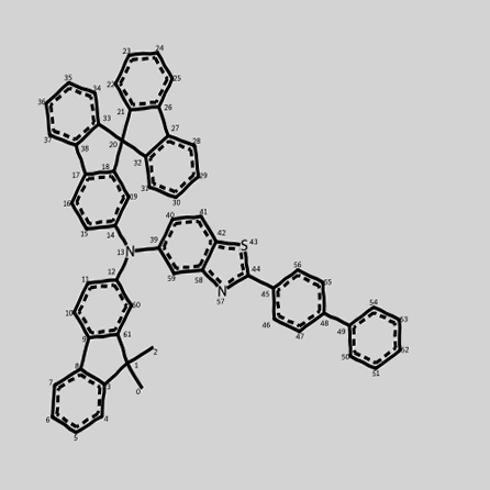 CC1(C)c2ccccc2-c2ccc(N(c3ccc4c(c3)C3(c5ccccc5-c5ccccc53)c3ccccc3-4)c3ccc4sc(-c5ccc(-c6ccccc6)cc5)nc4c3)cc21